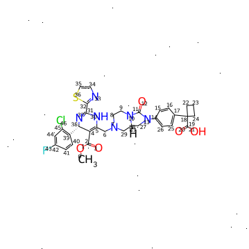 COC(=O)C1=C(CN2CCN3C(=O)N(c4ccc(C5(C(=O)O)CCC5)cc4)C[C@@H]3C2)NC(c2nccs2)=N[C@H]1c1ccc(F)cc1Cl